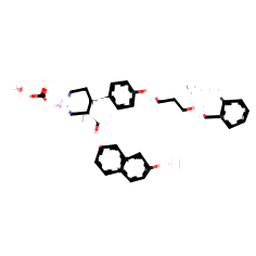 COc1ccccc1COCCCOc1ccc([C@@H]2CCN(OC(=O)OC(C)(C)C)C[C@@H]2COc2ccc3ccc(O)cc3c2)cc1